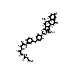 C[C@H](NC(=O)CCN)C(=O)N[C@@H](C)C(=O)Nc1cccc(Cc2ccc([C@@H]3O[C@@H]4CC5[C@@H]6C[C@H](F)C7=CC(=O)C=C[C@]7(C)[C@@]6(F)[C@@H](O)C[C@]5(C)[C@]4(C(=O)CO)O3)cc2)c1